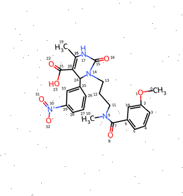 COc1cccc(C(=O)N(C)CCCN2C(=O)NC(C)=C(C(=O)O)C2c2cccc([N+](=O)[O-])c2)c1